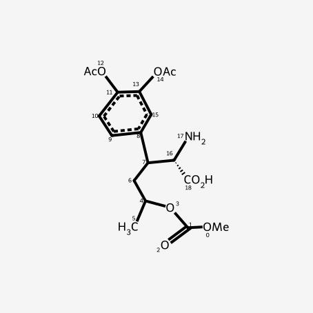 COC(=O)OC(C)CC(c1ccc(OC(C)=O)c(OC(C)=O)c1)[C@H](N)C(=O)O